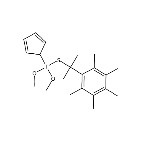 C[O][Ti]([O]C)([S]C(C)(C)c1c(C)c(C)c(C)c(C)c1C)[CH]1C=CC=C1